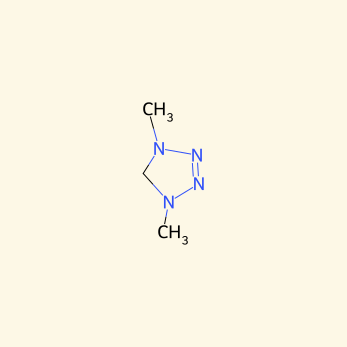 CN1CN(C)N=N1